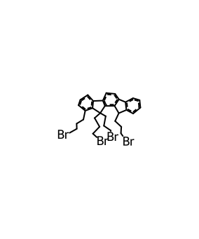 BrCCCc1cccc2c1C(CCCBr)(CCCBr)c1c-2ccc2c1C(CCCBr)c1ccccc1-2